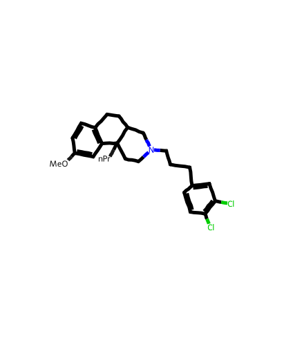 CCCC12CCN(CCCc3ccc(Cl)c(Cl)c3)CC1CCc1ccc(OC)cc12